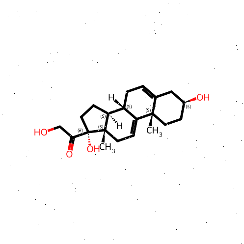 C[C@]12CC[C@H](O)CC1=CC[C@@H]1C2=CC[C@@]2(C)[C@H]1CC[C@]2(O)C(=O)CO